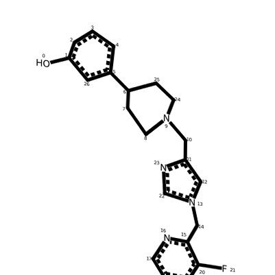 Oc1cccc(C2CCN(Cc3cn(Cc4ncccc4F)cn3)CC2)c1